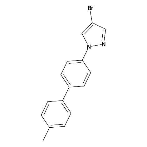 Cc1ccc(-c2ccc(-n3cc(Br)cn3)cc2)cc1